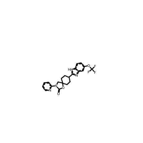 O=C1OC2(CCC(c3nc4cc(OC(F)(F)F)ccc4[nH]3)CC2)CN1c1ccccn1